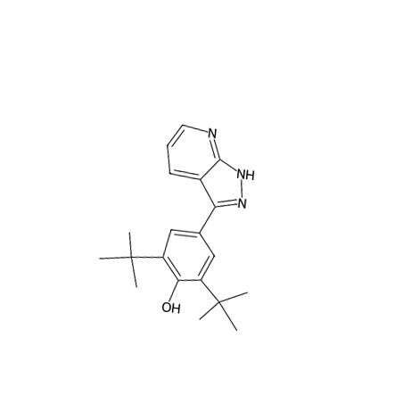 CC(C)(C)c1cc(-c2n[nH]c3ncccc23)cc(C(C)(C)C)c1O